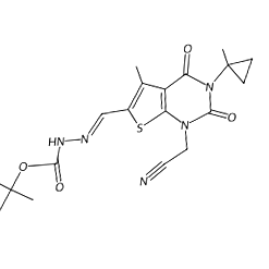 Cc1c(/C=N/NC(=O)OC(C)(C)C)sc2c1c(=O)n(C1(C)CC1)c(=O)n2CC#N